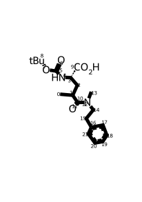 CC(C[C@H](NC(=O)OC(C)(C)C)C(=O)O)C(=O)N(C)CCc1ccccc1